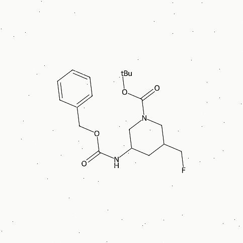 CC(C)(C)OC(=O)N1CC(CF)CC(NC(=O)OCc2ccccc2)C1